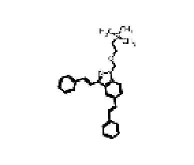 C[Si](C)(C)CCOCn1nc(C=Cc2ccccc2)c2cc(C=Cc3ccccc3)ccc21